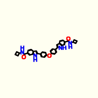 O=C(NC1CCC1)c1ccc2cc(-c3ccc(Oc4ccc(-c5cc6ccc(C(=O)NC7CCC7)cc6[nH]5)cc4)cc3)[nH]c2c1